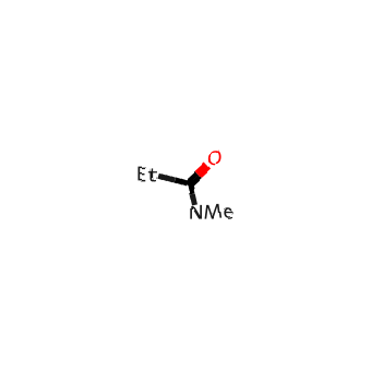 CCC(=O)NC